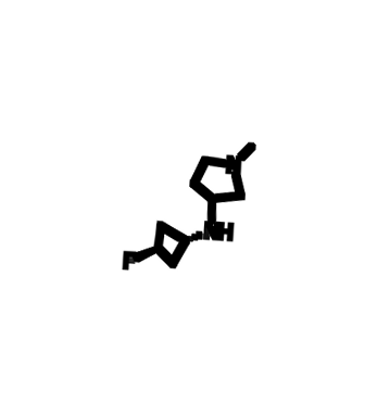 CN1CCC(N[C@H]2C[C@H](F)C2)C1